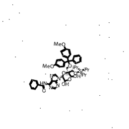 COc1ccc(C(OC[C@@]2(CO[Si](C(C)C)(C(C)C)C(C)C)O[C@@H](n3cnc4c(NC(=O)c5ccccc5)ncnc43)C(O)OC2O)(c2ccccc2)c2ccc(OC)cc2)cc1